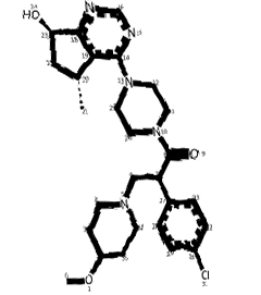 COC1CCN(CC(C(=O)N2CCN(c3ncnc4c3[C@H](C)C[C@H]4O)CC2)c2ccc(Cl)cc2)CC1